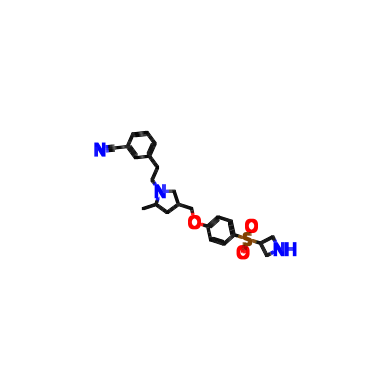 CC1CC(COc2ccc(S(=O)(=O)C3CNC3)cc2)CN1CCc1cccc(C#N)c1